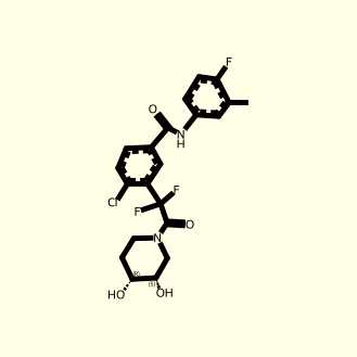 Cc1cc(NC(=O)c2ccc(Cl)c(C(F)(F)C(=O)N3CC[C@@H](O)[C@@H](O)C3)c2)ccc1F